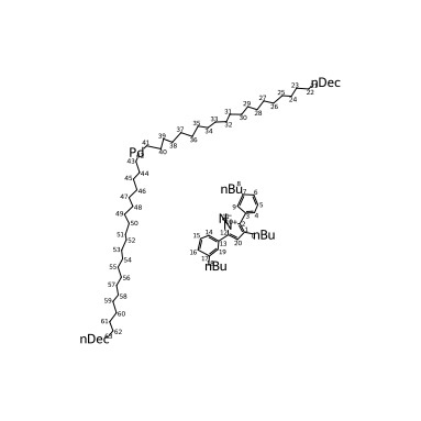 CCCCC1=C(c2cccc(CCCC)c2)[N+](=[N-])C(c2cccc(CCCC)c2)=C1.CCCCCCCCCCCCCCCCCCCCCCCCCCCCC[CH2][Pd][CH2]CCCCCCCCCCCCCCCCCCCCCCCCCCCCC